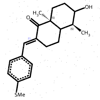 CSc1ccc(/C=C2\CCC3[C@H](C)C(O)CC[C@]3(C)C2=O)cc1